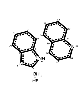 B.F.c1ccc2[nH]cnc2c1.c1ccc2ncccc2c1